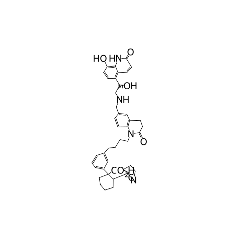 O=C1CCc2cc(CNC[C@H](O)c3ccc(O)c4[nH]c(=O)ccc34)ccc2N1CCCCc1cccc(C2(C(=O)O)CCCCC2C2CN3CCC2CC3)c1